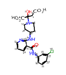 O=C(O)CC(O)(C(=O)O)N1CCC(Nc2ncccc2C(=O)Nc2cccc(Cl)c2)CC1